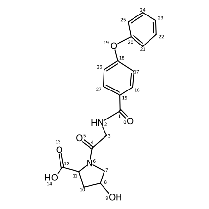 O=C(NCC(=O)N1CC(O)CC1C(=O)O)c1ccc(Oc2ccccc2)cc1